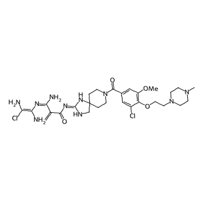 C=C(C(=O)/N=C1\NCC2(CCN(C(=O)c3cc(Cl)c(OCCN4CCN(C)CC4)c(OC)c3)CC2)N1)/C(N)=N\C(N)=C(/N)Cl